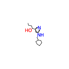 CCCC(O)c1cncc(NCC2CCCCC2)c1